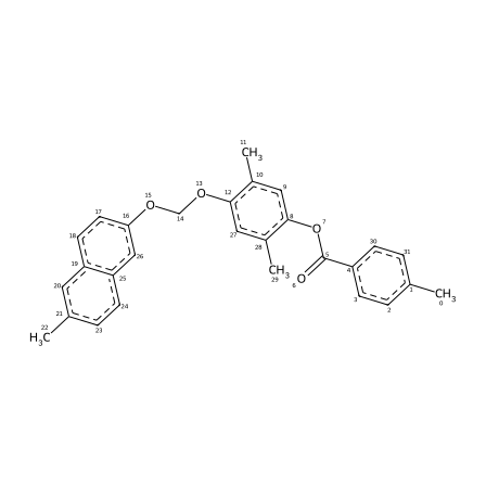 Cc1ccc(C(=O)Oc2cc(C)c(OCOc3ccc4cc(C)ccc4c3)cc2C)cc1